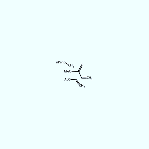 C=CC(=O)OC.C=COC(C)=O.CCCCCC